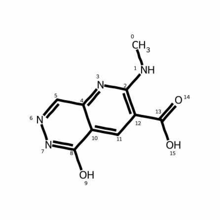 CNc1nc2cnnc(O)c2cc1C(=O)O